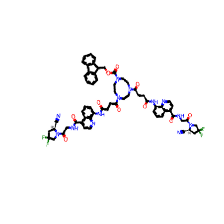 N#C[C@@H]1CC(F)(F)CN1C(=O)CNC(=O)c1ccnc2c(NC(=O)CCC(=O)N3CCN(C(=O)CCC(=O)Nc4cccc5c(C(=O)NCC(=O)N6CC(F)(F)C[C@H]6C#N)ccnc45)CCN(C(=O)OCC4c5ccccc5-c5ccccc54)CC3)cccc12